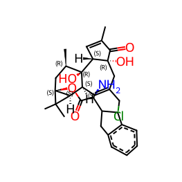 CC1=C[C@H]2[C@@]3(O)[C@H](C)C[C@]4(OC(=O)[C@@H](N)C5Cc6ccccc6C5)[C@@H]([C@@H]3C=C(CCl)C[C@]2(O)C1=O)C4(C)C